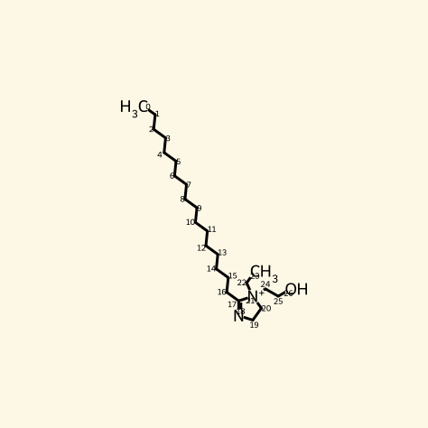 CCCCCCCCCCCCCCCCCC1=NCC[N+]1(CC)CCO